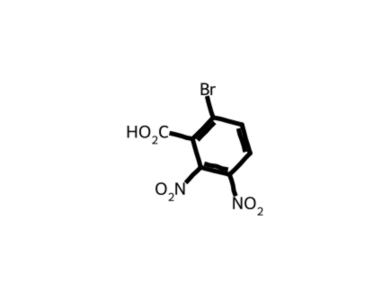 O=C(O)c1c(Br)ccc([N+](=O)[O-])c1[N+](=O)[O-]